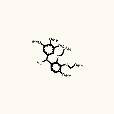 COCOc1c(OC)ccc(C(O)c2cc(OC)c(OC)c(OC)c2)c1OCOC